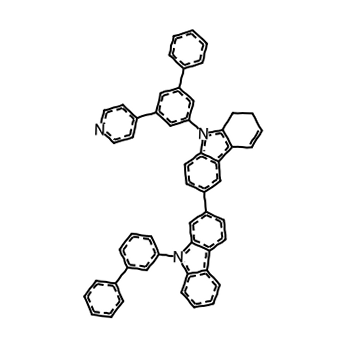 C1=Cc2c(n(-c3cc(-c4ccccc4)cc(-c4ccncc4)c3)c3ccc(-c4ccc5c6ccccc6n(-c6cccc(-c7ccccc7)c6)c5c4)cc23)CC1